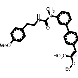 CCO/C(=C/c1ccc(-c2cccc(N(C)C(=O)NCCc3ccc(OC)cc3)c2)cc1)C(=O)O